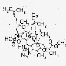 COC(=O)/C(C)=C\CC12OC(C)(C)C(C)C13Oc1c(CC=C(C)C)c4c(c(OP(=O)(O)O)c1C1=C3C(C(C)C2=O)n2cnc(n2)N1)C=CC(C)(CCC=C(C)C)O4